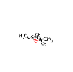 C=C[SiH2]OC(C)(CC)CC